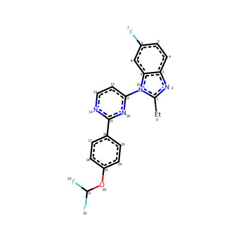 CCc1nc2ccc(F)cc2n1-c1ccnc(-c2ccc(OC(F)F)cc2)n1